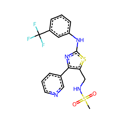 CS(=O)(=O)NCc1sc(Nc2cccc(C(F)(F)F)c2)nc1-c1cccnc1